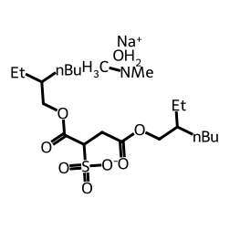 CCCCC(CC)COC(=O)CC(C(=O)OCC(CC)CCCC)S(=O)(=O)[O-].CNC.O.[Na+]